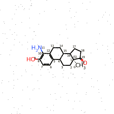 C[C@]12CCC3c4ccc(O)c(N)c4CCC3C1CCC2=O